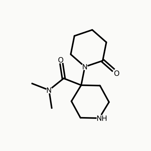 CN(C)C(=O)C1(N2CCCCC2=O)CCNCC1